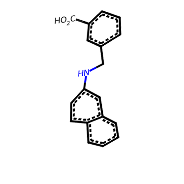 O=C(O)c1cccc(CNc2ccc3ccccc3c2)c1